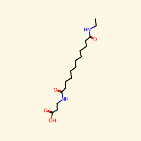 CCNC(=O)CCCCCCCCCCC(=O)NCCC(=O)O